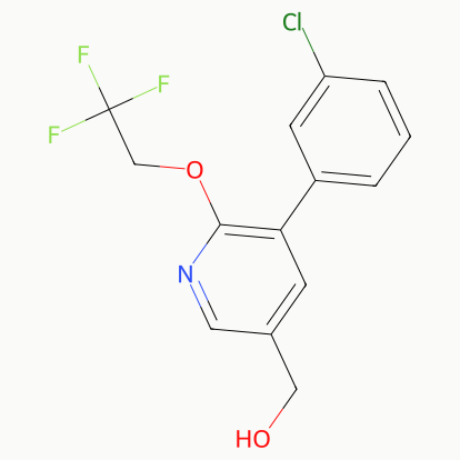 OCc1cnc(OCC(F)(F)F)c(-c2cccc(Cl)c2)c1